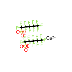 O=S(=O)([O-])C(F)(F)C(F)(F)C(F)(F)C(F)(F)C(F)(F)F.O=S(=O)([O-])C(F)(F)C(F)(F)C(F)(F)C(F)(F)C(F)(F)F.[Ca+2]